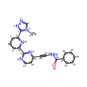 CC(C)n1cnnc1-c1cccc(-c2nccc(C#CNC(=O)c3ccccc3)n2)n1